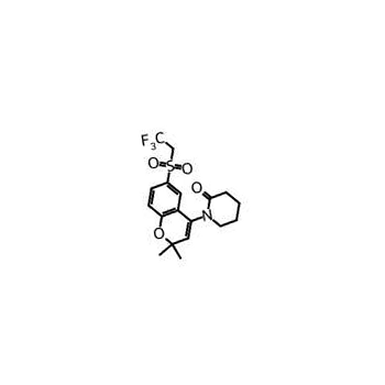 CC1(C)C=C(N2CCCCC2=O)c2cc(S(=O)(=O)CC(F)(F)F)ccc2O1